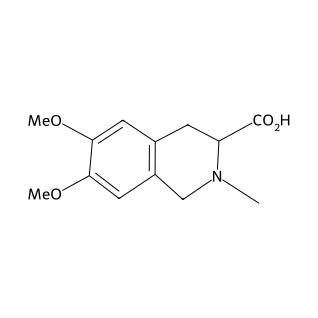 COc1cc2c(cc1OC)CN(C)C(C(=O)O)C2